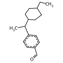 CCC1CCC(C(C)c2ccc(C=O)cc2)CC1